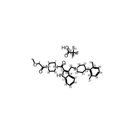 COCC(=O)N1CCN(C(=O)c2[nH]c3ccccc3c2CN2CCC(c3c(C)cccc3C)CC2)CC1.O=C(O)C(F)(F)F